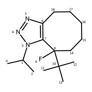 CC(C)n1nnc2c1C(F)(C(C)(C)C)CCCCC2